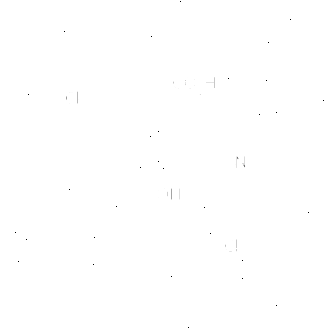 O=C(O)CCC(c1cc(Cl)ccn1)C(O)c1ccc(Cl)cc1